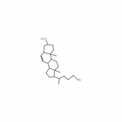 CC(=O)OC1CCC2(C)C(C=CC3C2CCC2(C)C(C(C)CCCC(C)C)CCC32)C1